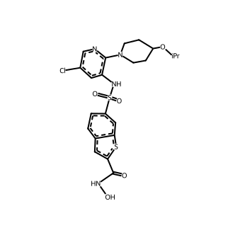 CC(C)OC1CCN(c2ncc(Cl)cc2NS(=O)(=O)c2ccc3cc(C(=O)NO)sc3c2)CC1